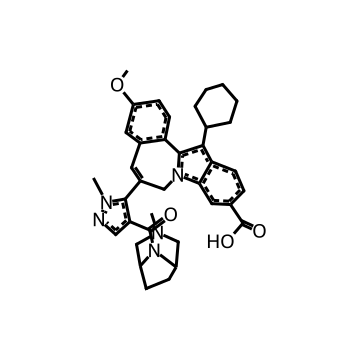 COc1ccc2c(c1)C=C(c1c(C(=O)N3C4CCC3CN(C)C4)cnn1C)Cn1c-2c(C2CCCCC2)c2ccc(C(=O)O)cc21